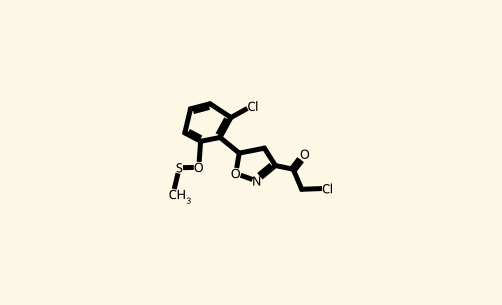 CSOc1cccc(Cl)c1C1CC(C(=O)CCl)=NO1